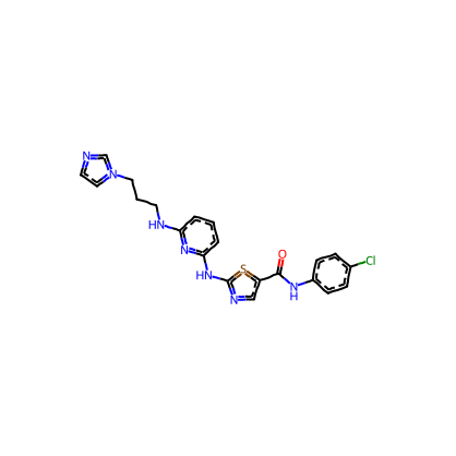 O=C(Nc1ccc(Cl)cc1)c1cnc(Nc2cccc(NCCCn3ccnc3)n2)s1